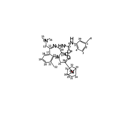 Cc1cccc(NC(=O)NC2N=C(CN(C)C)c3cccc(C)c3N(CC(=O)N3CC4CCC(CC4)C3)C2=O)c1